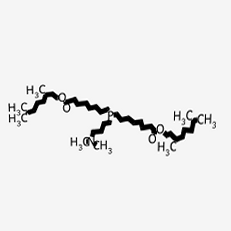 CC(C)CCCC(C)CCOC(=O)CCCCCCCP(CCCCCCCC(=O)OCCC(C)CCCC(C)C)CCCCN(C)C